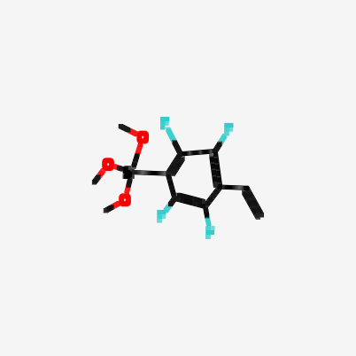 C=Cc1c(F)c(F)c([Si](OC)(OC)OC)c(F)c1F